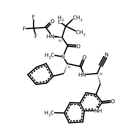 Cc1ccc2[nH]c(=O)c(C[C@@H](C#N)NC(=O)[C@H](Cc3ccccc3)N(C)C(=O)[C@@H](NC(=O)C(F)(F)F)C(C)(C)C)cc2c1